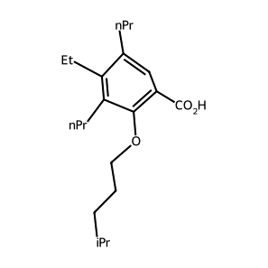 CCCc1cc(C(=O)O)c(OCCCC(C)C)c(CCC)c1CC